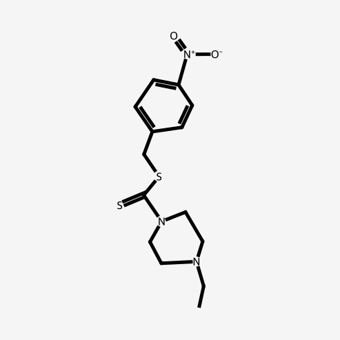 CCN1CCN(C(=S)SCc2ccc([N+](=O)[O-])cc2)CC1